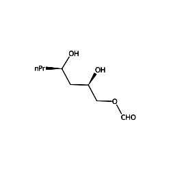 CCC[C@@H](O)C[C@@H](O)COC=O